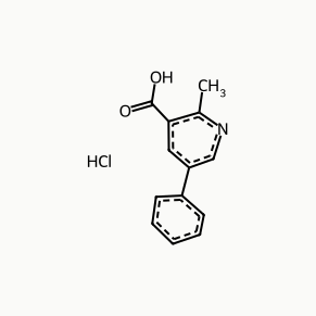 Cc1ncc(-c2ccccc2)cc1C(=O)O.Cl